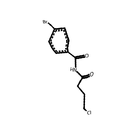 O=C(CCCCl)NC(=O)c1ccc(Br)cc1